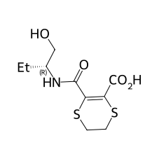 CC[C@H](CO)NC(=O)C1=C(C(=O)O)SCCS1